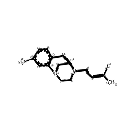 CC(Cl)=CCN1CCN2CC1Cc1ccc(N)cc12